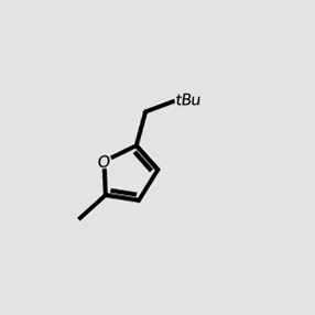 Cc1ccc(CC(C)(C)C)o1